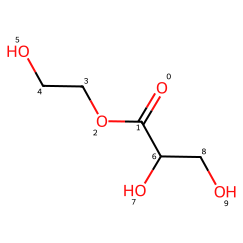 O=C(OCCO)C(O)CO